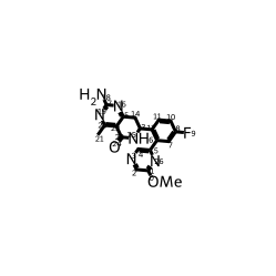 COc1cncc(-c2cc(F)ccc2C2Cc3nc(N)nc(C)c3C(=O)N2)n1